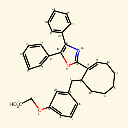 O=C(O)COc1cccc(CC2CCCCCC=C2c2nc(-c3ccccc3)c(-c3ccccc3)o2)c1